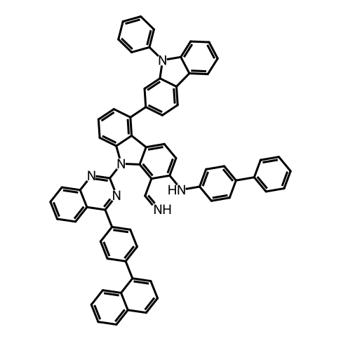 N=Cc1c(Nc2ccc(-c3ccccc3)cc2)ccc2c3c(-c4ccc5c6ccccc6n(-c6ccccc6)c5c4)cccc3n(-c3nc(-c4ccc(-c5cccc6ccccc56)cc4)c4ccccc4n3)c12